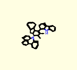 Cc1c(C)c(N(c2ccccc2)c2ccccc2-c2ccccc2)c2c(c1-c1cccc3c1[nH]c1ccccc13)-c1ccccc1C2